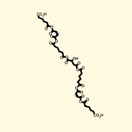 O=C(O)CCCCC(=O)OC(=O)/C=C\C(=O)OC(=O)CCCCC(=O)OC(=O)CC(O)C(=O)OC(=O)CCCCC(=O)OC(=O)/C=C\C(=O)OC(=O)CCCCC(=O)O